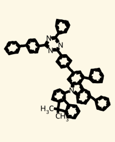 CC1(C)c2ccccc2-c2c(-n3c4ccc(-c5ccccc5)cc4c4c(-c5ccccc5)cc(-c5ccc(-c6nc(-c7cc#ccc7)nc(-c7ccc(-c8ccccc8)cc7)n6)cc5)cc43)cccc21